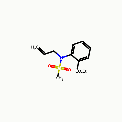 C=CCN(c1ccccc1C(=O)OCC)S(C)(=O)=O